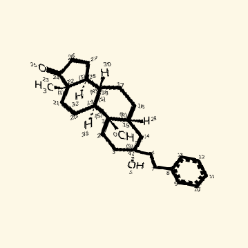 C[C@]12CC[C@](O)(CCc3ccccc3)C[C@H]1CC[C@@H]1[C@@H]2CC[C@]2(C)C(=O)CC[C@@H]12